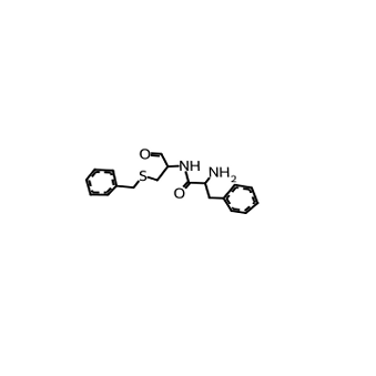 NC(Cc1ccccc1)C(=O)NC(C=O)CSCc1ccccc1